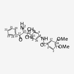 COc1ccc(C(=O)Nc2ccc(C(C)(C)C(N)C(=O)c3ccccc3)cc2)cc1OC